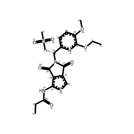 CCOc1nc([C@@H](CS(C)(=O)=O)N2C(=O)c3csc(NC(=O)CC)c3C2=O)ccc1OC